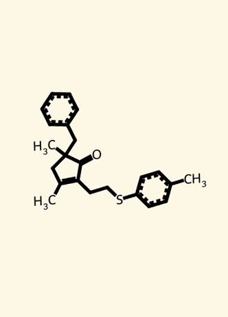 CC1=C(CCSc2ccc(C)cc2)C(=O)C(C)(Cc2ccccc2)C1